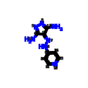 NC1=NN=C(N)C1=NNc1ccncc1